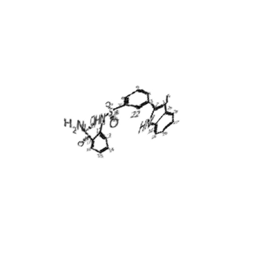 Cc1c(-c2cccc(S(=O)(=O)Nc3ccccc3S(N)(=O)=O)c2)[nH]c2ccccc12